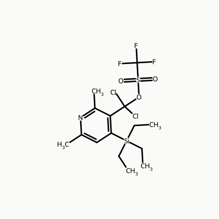 CC[Si](CC)(CC)c1cc(C)nc(C)c1C(Cl)(Cl)OS(=O)(=O)C(F)(F)F